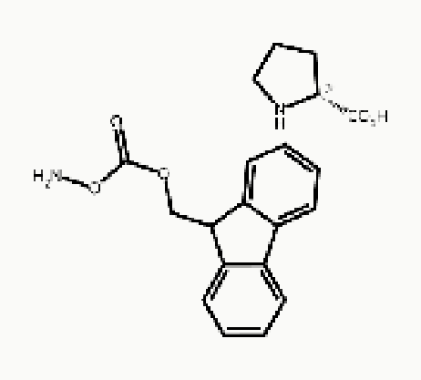 NOC(=O)OCC1c2ccccc2-c2ccccc21.O=C(O)[C@H]1CCCN1